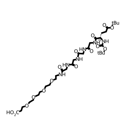 CC(C)(C)OC(=O)CC[C@H](NC(=O)OC(C)(C)C)C(=O)NCC(=O)NCC(=O)NCC(=O)NCC(=O)NCCOCCOCCOCCOCCC(=O)O